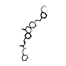 COc1cccc(CCN2CCC3(CC2)CC(=O)c2cc(/C=C/C(=O)NOC4CCCCO4)ccc2O3)c1